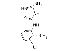 Cc1c(Cl)cccc1NC(=S)NC(=N)N